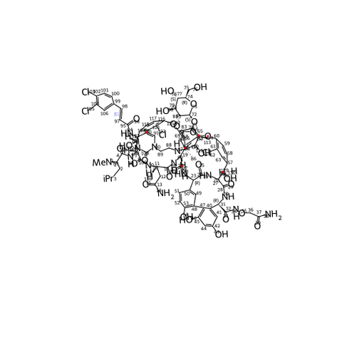 CN[C@H](CC(C)C)C(=O)N[C@H]1C(=O)N[C@@H](CC(N)=O)C(=O)N[C@H]2C(=O)N[C@H]3C(=O)N[C@H](C(=O)N[C@@H](C(=O)NOCC(N)=O)c4cc(O)cc(O)c4-c4cc3ccc4O)[C@H](O)c3ccc(c(Cl)c3)Oc3cc2cc(c3O[C@@H]2O[C@H](CO)[C@@H](O)[C@H](O)[C@H]2O[C@H]2C[C@](C)(NCCn3ccc(NC(=O)/C=C/c4ccc(Cl)c(Cl)c4)nc3=O)[C@H](O)[C@H](C)O2)Oc2ccc(cc2Cl)[C@H]1O